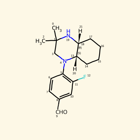 CC1(C)CN(c2ccc(C=O)cc2F)[C@H]2CCCC[C@H]2N1